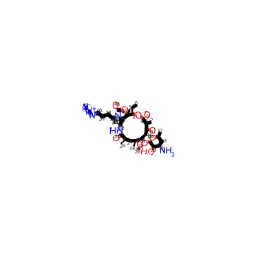 CC[C@H]1OC(=O)C(C)C(=O)[C@H](C)[C@@H](O[C@@H]2OC(C)CC(N)C2O)[C@](C)(OC)C[C@@H](C)C(=O)N[C@H](C)[C@H]2N(CCCCN=[N+]=[N-])C(=O)O[C@]12C